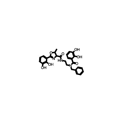 CC1OC(c2cccc(O)c2O)=NC1C(=O)NCCN(Cc1ccccc1)C(=O)c1cccc(O)c1O